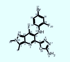 Cc1c2nc(-c3nnc(N)o3)c(Nc3ccc(Br)cc3F)c(F)c2nn1C